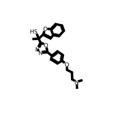 CN(C)CCCOc1ccc(-c2nnc(C(C)(S)c3cc4ccccc4o3)o2)cc1